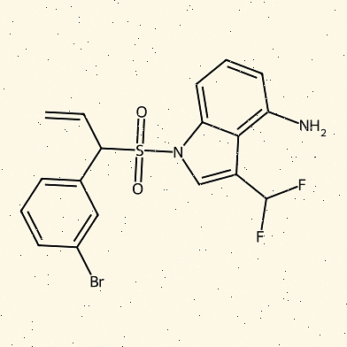 C=CC(c1cccc(Br)c1)S(=O)(=O)n1cc(C(F)F)c2c(N)cccc21